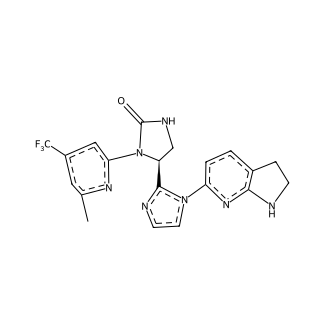 Cc1cc(C(F)(F)F)cc(N2C(=O)NC[C@H]2c2nccn2-c2ccc3c(n2)NCC3)n1